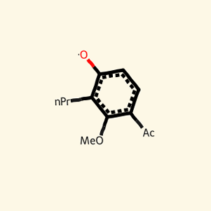 CCCc1c([O])ccc(C(C)=O)c1OC